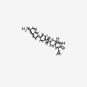 Nc1cnc2cc(-c3ccc(S(=O)(=O)C4CCC5(CC4)CC(C4CC4)C(=O)NN5)cc3)ccc2c1